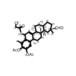 CC(=O)Oc1cc2c(c(C)c1OC(C)=O)C(SC(=O)CC(F)(F)F)C=C1[C@@]2(C)CC[C@@]2(C)[C@@H]3C[C@](C)(C=O)CC[C@]3(C)CC[C@]12C